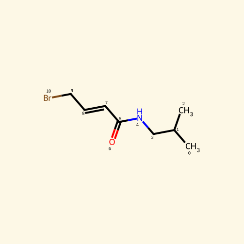 CC(C)CNC(=O)C=CCBr